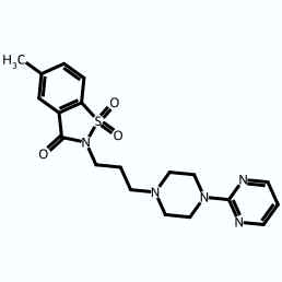 Cc1ccc2c(c1)C(=O)N(CCCN1CCN(c3ncccn3)CC1)S2(=O)=O